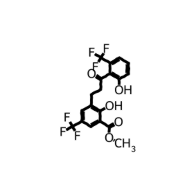 COC(=O)c1cc(C(F)(F)F)cc(CCC(=O)c2c(O)cccc2C(F)(F)F)c1O